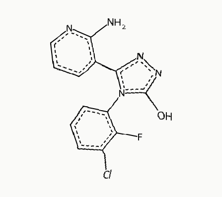 Nc1ncccc1-c1nnc(O)n1-c1cccc(Cl)c1F